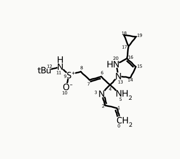 C=C/C=N\C(N)(/C=C/C[S+]([O-])NC(C)(C)C)N1CC=C(C2CC2)N1